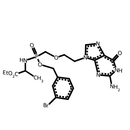 CCOC(=O)C(C)NP(=O)(COCCn1cnc2c(=O)[nH]c(N)nc21)OCc1cccc(Br)c1